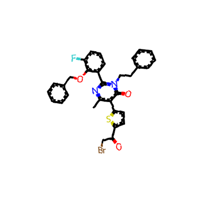 Cc1nc(-c2cccc(F)c2OCc2ccccc2)n(CCc2ccccc2)c(=O)c1-c1ccc(C(=O)CBr)s1